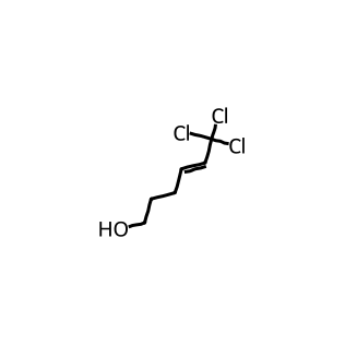 OCCCC=CC(Cl)(Cl)Cl